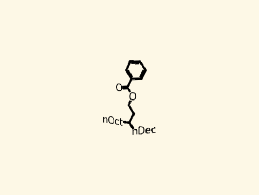 CCCCCCCCCCC(CCCCCCCC)CCOC(=O)c1ccccc1